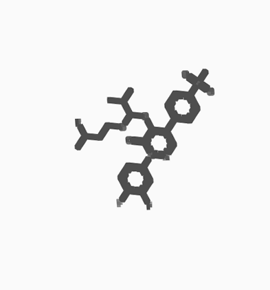 CC(F)CCOC(Oc1c(-c2ccc(S(C)(=O)=O)cc2)cnn(-c2ccc(F)c(F)c2)c1=O)C(C)C